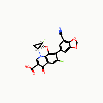 COc1c(-c2cc(C#N)c3c(c2)OCO3)c(F)cc2c(=O)c(C(=O)O)cn([C@@H]3C[C@@H]3F)c12